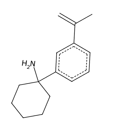 C=C(C)c1cccc(C2(N)CCCCC2)c1